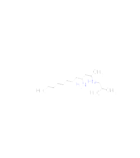 CCCCCCCCC(N)CC(C)NCC(C)C